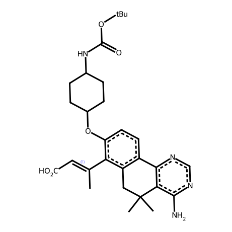 C/C(=C\C(=O)O)c1c(OC2CCC(NC(=O)OC(C)(C)C)CC2)ccc2c1CC(C)(C)c1c(N)ncnc1-2